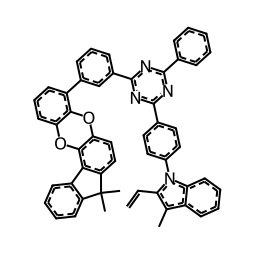 C=Cc1c(C)c2ccccc2n1-c1ccc(-c2nc(-c3ccccc3)nc(-c3cccc(-c4cccc5c4Oc4ccc6c(c4O5)-c4ccccc4C6(C)C)c3)n2)cc1